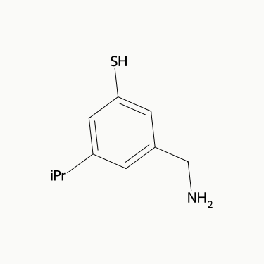 CC(C)c1cc(S)cc(CN)c1